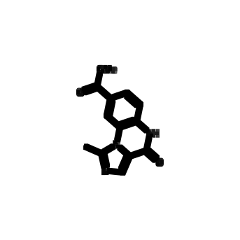 COC(=O)c1ccc2[nH]c(=O)c3cnc(C)n3c2c1